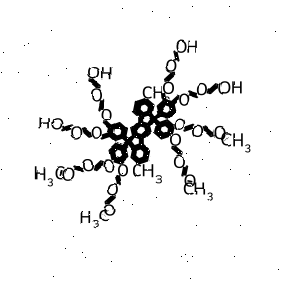 COCCOCCOc1ccc(C2(c3ccc(COCCOCCO)c(COCCOCCO)c3)c3cc(C)ccc3-c3cc4c(cc32)-c2ccc(C)cc2C4(c2ccc(COCCOCCO)c(COCCOCCO)c2)c2ccc(OCCOCCOC)c(OCCOCCOC)c2)cc1OCCOCCOC